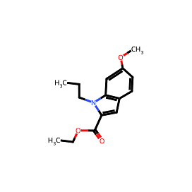 CCCn1c(C(=O)OCC)cc2ccc(OC)cc21